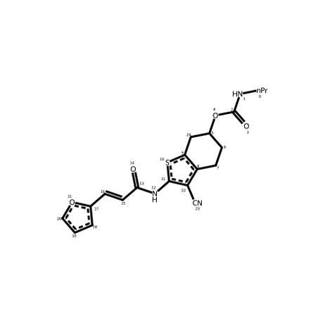 CCCNC(=O)OC1CCc2c(sc(NC(=O)C=Cc3ccco3)c2C#N)C1